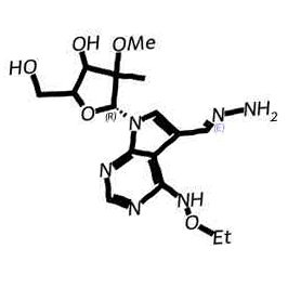 CCONc1ncnc2c1c(/C=N/N)cn2[C@@H]1OC(CO)C(O)C1(C)OC